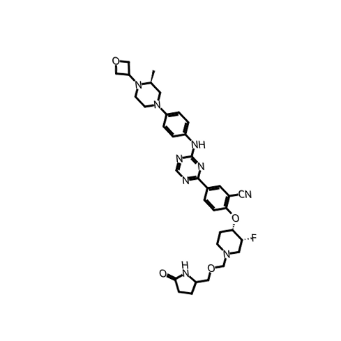 C[C@H]1CN(c2ccc(Nc3ncnc(-c4ccc(O[C@H]5CCN(COCC6CCC(=O)N6)C[C@H]5F)c(C#N)c4)n3)cc2)CCN1C1COC1